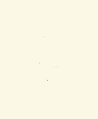 Fc1cccc(Nc2ncccn2)c1